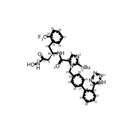 CCCCc1ncc(C(=O)N[C@@H](CC(=O)NO)Cc2ccccc2C(F)(F)F)n1Cc1ccc(-c2ccccc2-c2nnn[nH]2)cc1